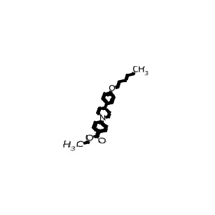 CCCCCCOc1ccc(C2CCN(c3ccc(C(=O)OCC)cc3)CC2)cc1